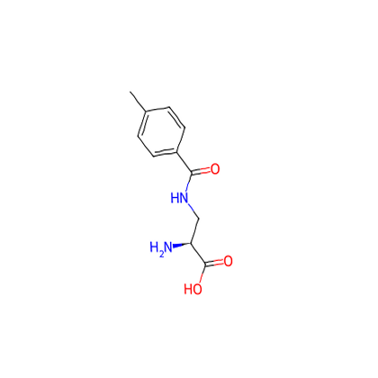 Cc1ccc(C(=O)NC[C@H](N)C(=O)O)cc1